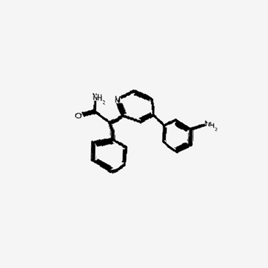 NC(=O)C(c1ccccc1)c1cc(-c2cccc(N)c2)ccn1